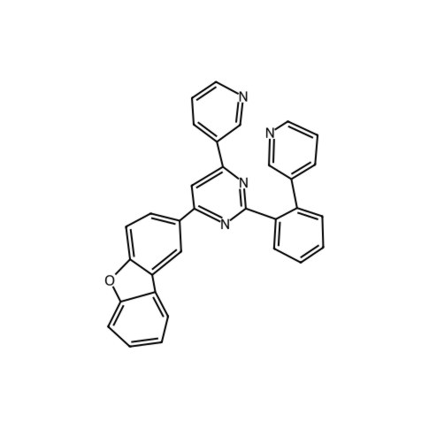 c1cncc(-c2cc(-c3ccc4oc5ccccc5c4c3)nc(-c3ccccc3-c3cccnc3)n2)c1